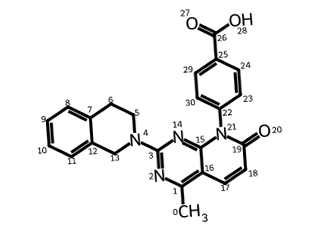 Cc1nc(N2CCc3ccccc3C2)nc2c1ccc(=O)n2-c1ccc(C(=O)O)cc1